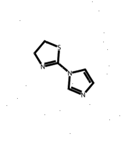 c1cn(C2=NCCS2)cn1